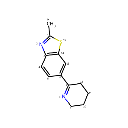 Cc1nc2ccc(C3=NCCCC3)cc2s1